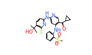 CC(C)(O)c1ccc(Nc2cc(Nc3ccccc3S(C)(=O)=O)c(C(=O)C3CC3)cn2)nc1F